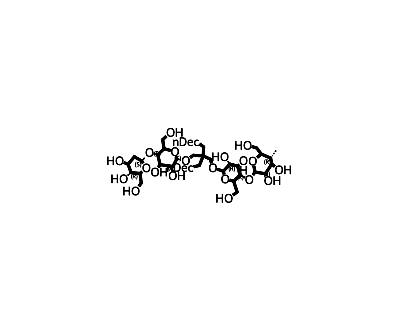 CCCCCCCCCCCC(CCCCCCCCCCC)(COC1OC(CO)[C@H](OC2OC(CO)[C@H](C)C(O)[C@H]2O)C(O)[C@H]1O)CO[C@H]1OC(CO)[C@H](O[C@H]2CC(O)[C@@H](O)C(CO)O2)C(O)[C@H]1O